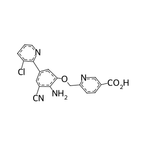 N#Cc1cc(-c2ncccc2Cl)cc(OCc2ccc(C(=O)O)cn2)c1N